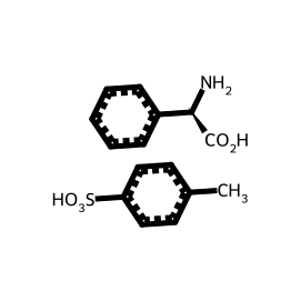 Cc1ccc(S(=O)(=O)O)cc1.N[C@@H](C(=O)O)c1ccccc1